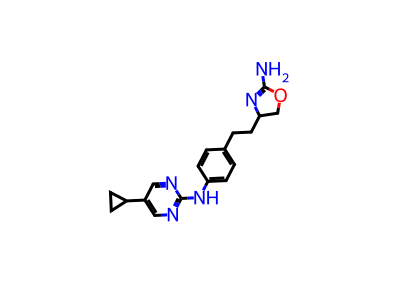 NC1=NC(CCc2ccc(Nc3ncc(C4CC4)cn3)cc2)CO1